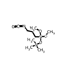 CO[Si](CCCN=C=O)(OC)O[Si](C)(C)C